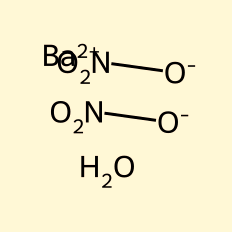 O.O=[N+]([O-])[O-].O=[N+]([O-])[O-].[Ba+2]